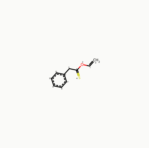 C=COC(=S)Cc1ccccc1